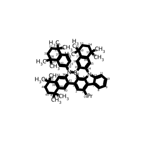 CC(C)c1cc2c3c4c1c1ccccc1n4-c1cc4c(cc1B3N(c1ccc3c(c1)C(C)(C)CCC3(C)C)c1cc3c(cc1-2)C(C)(C)CCC3(C)C)C(C)(C)CCC4(C)C